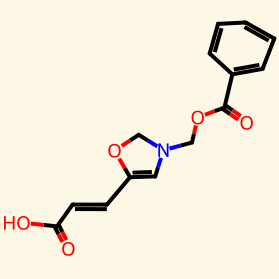 O=C(O)/C=C/C1=CN(COC(=O)c2ccccc2)CO1